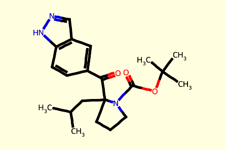 CC(C)CC1(C(=O)c2ccc3[nH]ncc3c2)CCCN1C(=O)OC(C)(C)C